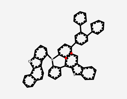 c1ccc(-c2ccc(-c3ccc(N(c4ccccc4-c4cccc5c4sc4ccccc45)c4cccc5oc6c7ccccc7ccc6c45)cc3)cc2-c2ccccc2)cc1